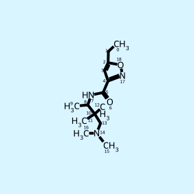 CCc1cc(C(=O)NC(C)C(C)(C)CN(C)C)no1